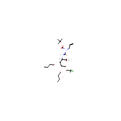 C=CCN(C(=O)OC(C)(C)C)C1=N[C@@H]2[C@@H](OCCCC)[C@H](OCCCC)[C@@H](C(O)C(F)(F)F)O[C@@H]2S1